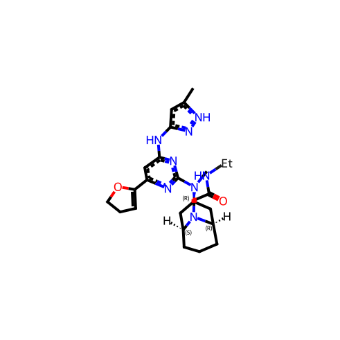 CCNC(=O)CN1[C@@H]2CCC[C@H]1C[C@@H](N(C)c1nc(Nc3cc(C)[nH]n3)cc(C3=CCCO3)n1)C2